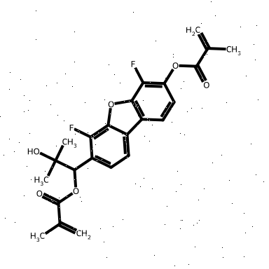 C=C(C)C(=O)Oc1ccc2c(oc3c(F)c(C(OC(=O)C(=C)C)C(C)(C)O)ccc32)c1F